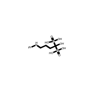 CC(C)NCCCC(O)(P(=O)(O)O)P(=O)(O)O